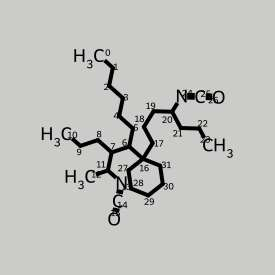 CCCCCCC(C(CCC)C(C)N=C=O)C1(CCCC(CCC)N=C=O)CCCCC1